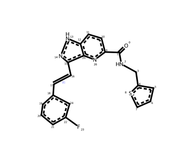 O=C(NCc1cccs1)c1ccc2[nH]nc(/C=C/c3cccc(F)c3)c2n1